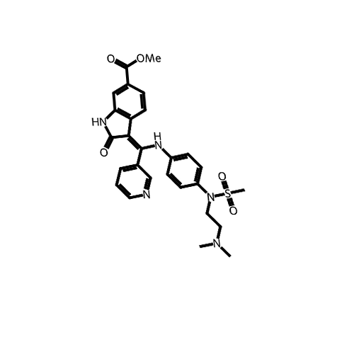 COC(=O)c1ccc2c(c1)NC(=O)C2=C(Nc1ccc(N(CCN(C)C)S(C)(=O)=O)cc1)c1cccnc1